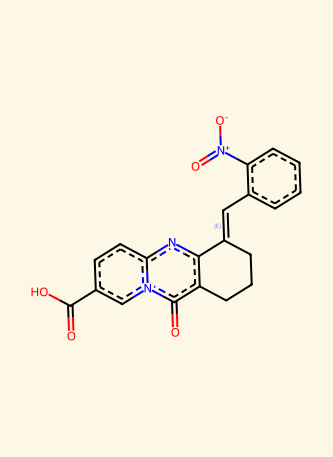 O=C(O)c1ccc2nc3c(c(=O)n2c1)CCC/C3=C\c1ccccc1[N+](=O)[O-]